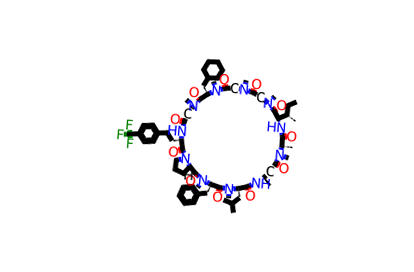 CC[C@H](C)[C@@H]1NC(=O)[C@H](C)N(C)C(=O)C[C@@H](C)NC(=O)[C@H](CC(C)C)N(C)C(=O)[C@H](Cc2ccccc2)N(C)C(=O)[C@@H]2CCCN2C(=O)[C@H](CCc2ccc(C(F)(F)F)cc2)NC(=O)CN(C)C(=O)[C@H](CC2CCCCC2)N(C)C(=O)CN(C)C(=O)CN(C)C1=O